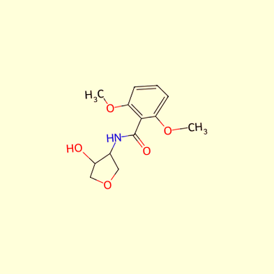 COc1cccc(OC)c1C(=O)NC1COCC1O